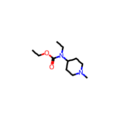 CCOC(=O)N(CC)C1CCN(C)CC1